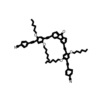 CCCCCCOc1cc(C#Cc2ccc3c(c2)-c2cc(C#Cc4cc(OCCCCCC)c(C#Cc5ccc(C#N)cc5)cc4OCCCCCC)ccc2C3=O)c(OCCCCCC)cc1C#Cc1ccc(C#N)cc1